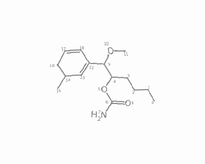 CCCCC(OC(N)=O)C(OC)C1=CC(C)CC=C1